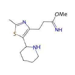 COC(=N)CCc1nc(C)sc1C1CCCCN1